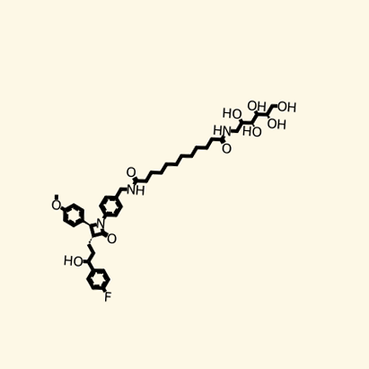 COc1ccc([C@@H]2[C@@H](CCC(O)c3ccc(F)cc3)C(=O)N2c2ccc(CNC(=O)CCCCCCCCCCC(=O)NCC(O)[C@@H](O)C(O)[C@H](O)CO)cc2)cc1